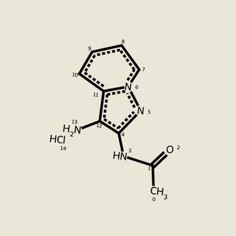 CC(=O)Nc1nn2ccccc2c1N.Cl